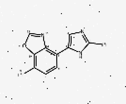 CC(C)c1ncc(-c2ccc(C(C)C)c3ocnc23)[nH]1